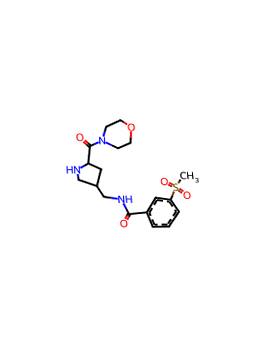 CS(=O)(=O)c1cccc(C(=O)NCC2CNC(C(=O)N3CCOCC3)C2)c1